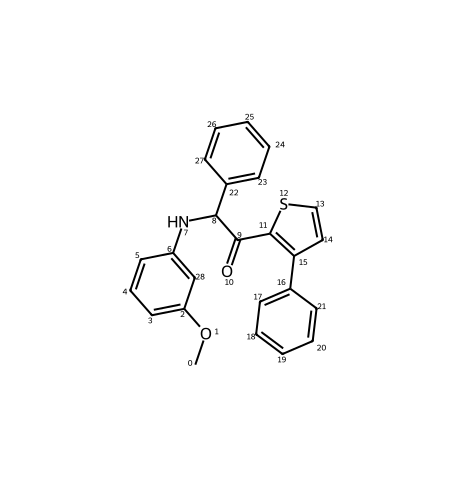 COc1cccc(NC(C(=O)c2sccc2-c2ccccc2)c2ccccc2)c1